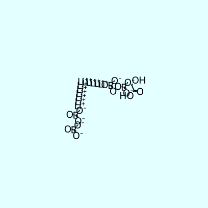 O=C(O)CO.[Li+].[Li+].[Li+].[Li+].[Li+].[Li+].[Li+].[Li+].[Li+].[Li+].[Li+].[Li+].[O-]B([O-])[O-].[O-]B([O-])[O-].[O-]B([O-])[O-].[O-]B([O-])[O-]